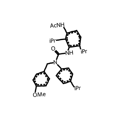 COc1ccc(CN(C(=O)Nc2c(C(C)C)ccc(NC(C)=O)c2C(C)C)c2ccc(C(C)C)cc2)cc1